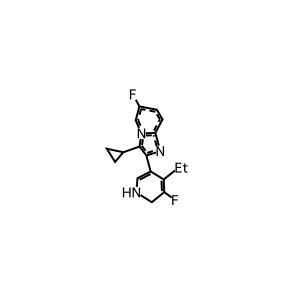 CCC1=C(F)CNC=C1c1nc2ccc(F)cn2c1C1CC1